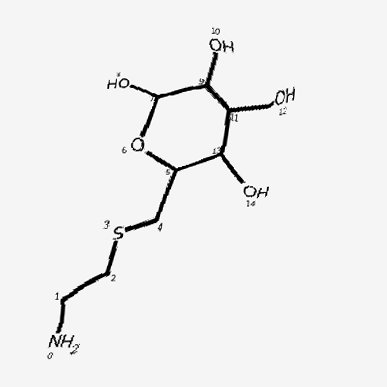 NCCSCC1OC(O)C(O)C(O)C1O